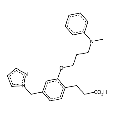 CN(CCCOc1cc(Cn2cccn2)ccc1CCC(=O)O)c1ccccc1